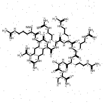 CC[C@@H](NC(=O)[C@@H](CCCNC(=N)N)NC(=O)[C@@H](CCCNC(=N)N)NC(=O)[C@@H](CCCNC(=N)N)NC(=O)[C@@H](CCCNC(=N)N)NC(=O)[C@@H](CCCNC(=N)N)NC(=O)[C@@H](CCCNC(=N)N)NC(=O)[C@@H](CCCNC(=N)N)NC)C(=O)N[C@H](CS)C(N)=O